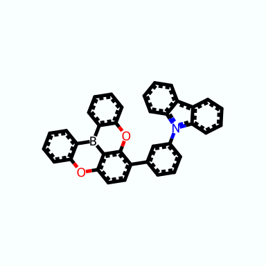 c1cc(-c2ccc3c4c2Oc2ccccc2B4c2ccccc2O3)cc(-n2c3ccccc3c3ccccc32)c1